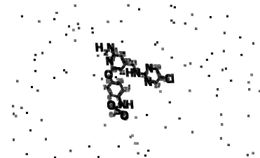 CS(=O)(=O)Nc1ccc(Oc2cc(CNc3ncc(Cl)cn3)cc(N)n2)cc1